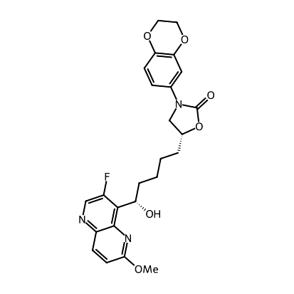 COc1ccc2ncc(F)c([C@@H](O)CCCC[C@@H]3CN(c4ccc5c(c4)OCCO5)C(=O)O3)c2n1